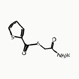 CC(=O)NC(=O)CSC(=O)c1cccs1